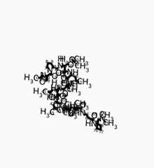 Cc1nc(C(=O)N2CCC[C@H]2C(=O)N[C@@H](COC(C)(C)C)C(=O)N[C@@H](CC(C)C)C(=O)NC(C)(C)C(=O)N[C@@H](CC(C)C)C(=O)N[C@@H](CC(C)C)C(=O)NC(C)(C)C(=O)NC(C)(C)C(=O)NCCC(=O)NC2(CN(C)C)CCC2)co1